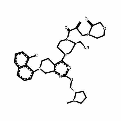 C=C(CN1CCOCC1=O)C(=O)N1CCN(c2nc(OC[C@@H]3CCCN3C)nc3c2CCN(c2cccc4cccc(Cl)c24)C3)C[C@@H]1CC#N